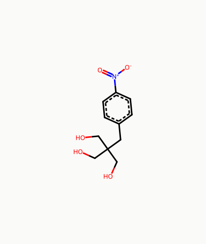 O=[N+]([O-])c1ccc(CC(CO)(CO)CO)cc1